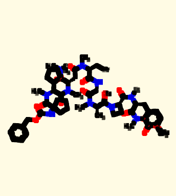 CC[C@H](C)[C@H](NC(=O)[C@H](CC(C)C)N(C)C(=O)C[C@@H](C(=O)N(C)C)N(C)C(=O)[C@H](C1CCCC1)N(C)C(=O)C1(NC(=O)OCc2ccccc2)CCCC1)C(=O)N(C)[C@@H](C)C(=O)N1CC[C@H]1C(=O)N(CC)[C@@H](Cc1ccc(C)cc1)C(=O)N(C)CC(=O)OC(C)(C)C